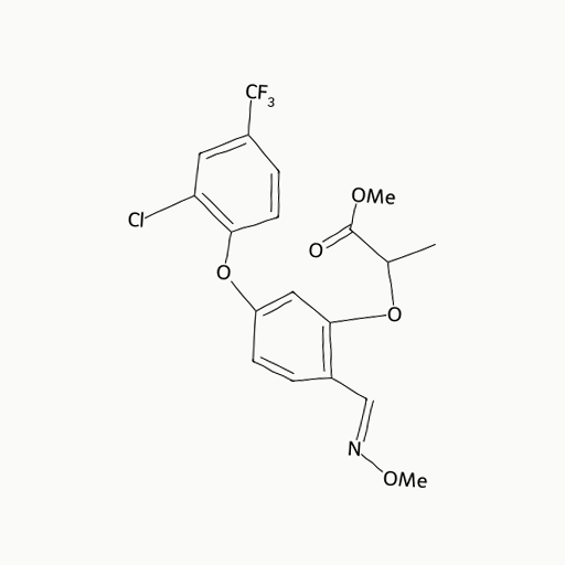 CON=Cc1ccc(Oc2ccc(C(F)(F)F)cc2Cl)cc1OC(C)C(=O)OC